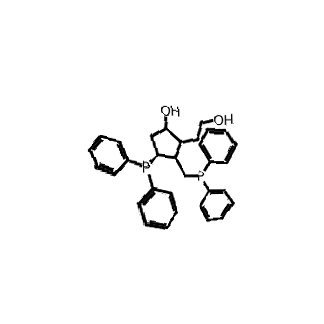 OCCC1C(O)C[C@H](P(c2ccccc2)c2ccccc2)C1CP(c1ccccc1)c1ccccc1